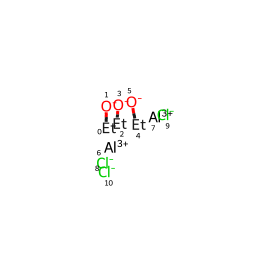 CC[O-].CC[O-].CC[O-].[Al+3].[Al+3].[Cl-].[Cl-].[Cl-]